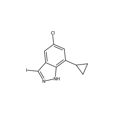 Clc1cc(C2CC2)c2[nH]nc(I)c2c1